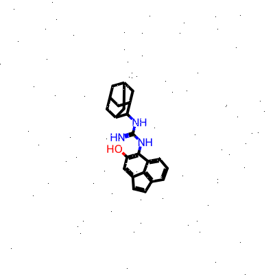 N=C(Nc1c(O)cc2c3c(cccc13)C=C2)NC1C2CC3CC(C2)CC1C3